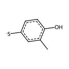 Cc1cc([S])ccc1O